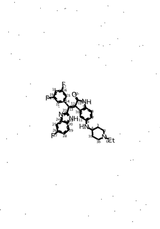 CCN1CCC(Nc2ccc3c(c2)C(=C(c2cc(F)cc(F)c2)c2nc4cc(F)ccc4[nH]2)C(=O)N3)CC1